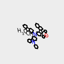 CC1(C)c2ccccc2-c2ccc(N(c3ccc4c(c3)-c3c(ccc5ccccc35)C43c4ccccc4Oc4ccccc43)c3ccc4c(c3)c3ccccc3n4-c3ccccc3)cc21